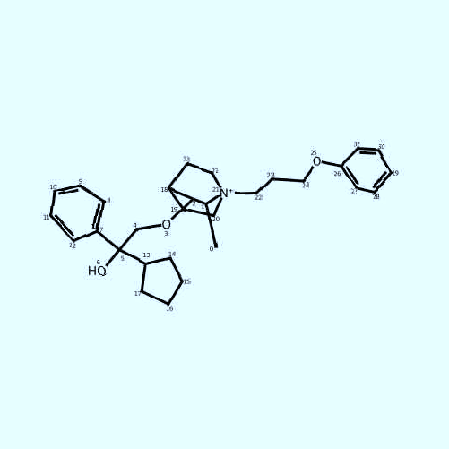 CC1C(OCC(O)(c2ccccc2)C2CCCC2)C2CC[N+]1(CCCOc1ccccc1)CC2